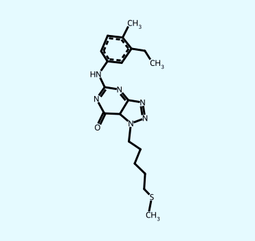 CCc1cc(NC2=NC(=O)C3C(=N2)N=NN3CCCCCSC)ccc1C